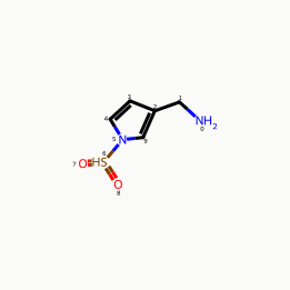 NCc1ccn([SH](=O)=O)c1